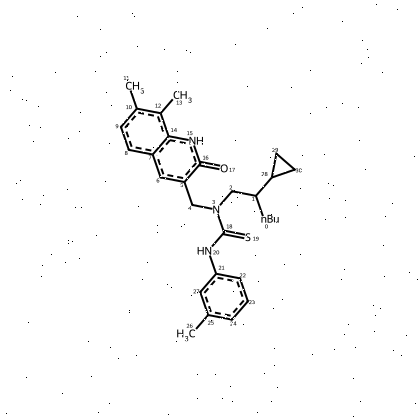 CCCCC(CN(Cc1cc2ccc(C)c(C)c2[nH]c1=O)C(=S)Nc1cccc(C)c1)C1CC1